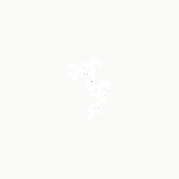 CCCC(C[C@H]1CCC2=C1[C@@H](C)c1cnn(-c3ccc(F)cc3)c1C2)NC(=O)N(C)C